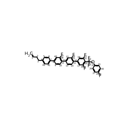 C=CCCc1ccc(-c2ccc(-c3ccc(-c4cc(F)c(C(F)(F)Oc5ccc(F)cc5)c(F)c4)c(F)c3)c(F)c2)cc1